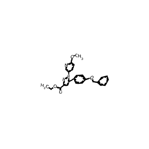 CCOC(=O)c1cc(-c2ccc(OCc3ccccc3)cc2)n(-c2ccc(OC)nc2)n1